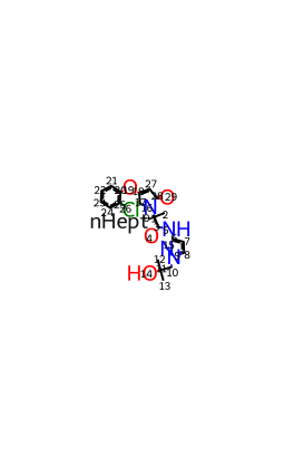 CCCCCCCC(C)(C(=O)Nc1ccn(CC(C)(C)O)n1)N1CC(Oc2ccccc2Cl)=CC1=O